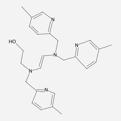 Cc1ccc(CN(C=CN(Cc2ccc(C)cn2)Cc2ccc(C)cn2)CCO)nc1